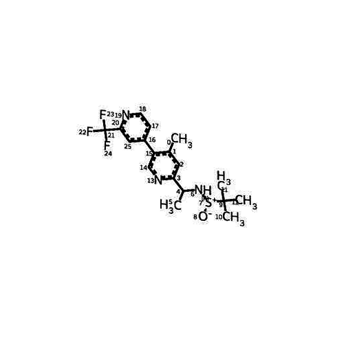 Cc1cc(C(C)N[S@@+]([O-])C(C)(C)C)ncc1-c1ccnc(C(F)(F)F)c1